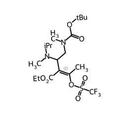 CCOC(=O)/C(=C(/C)OS(=O)(=O)C(F)(F)F)C(CN(C)C(=O)OC(C)(C)C)N(C)C(C)C